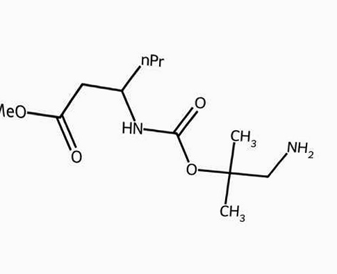 CCCC(CC(=O)OC)NC(=O)OC(C)(C)CN